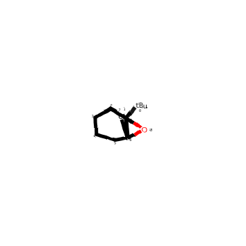 CC(C)(C)C12CCCCC1(C)O2